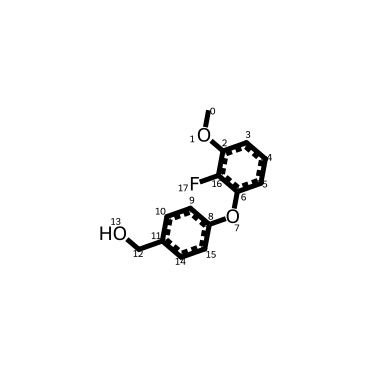 COc1cccc(Oc2ccc(CO)cc2)c1F